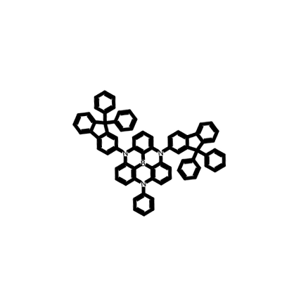 c1ccc(N2c3cccc4c3B3c5c2cccc5N(c2ccc5c(c2)C(c2ccccc2)(c2ccccc2)c2ccccc2-5)c2cccc(c23)N4c2ccc3c(c2)C(c2ccccc2)(c2ccccc2)c2ccccc2-3)cc1